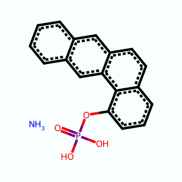 N.O=P(O)(O)Oc1cccc2ccc3cc4ccccc4cc3c12